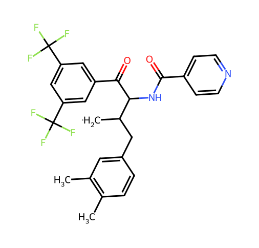 [CH2]C(Cc1ccc(C)c(C)c1)C(NC(=O)c1ccncc1)C(=O)c1cc(C(F)(F)F)cc(C(F)(F)F)c1